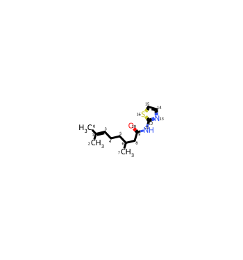 CC(C)=CCCC(C)CC(=O)Nc1nccs1